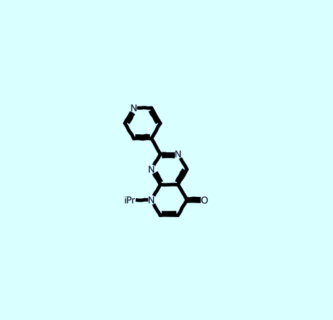 CC(C)n1ccc(=O)c2cnc(-c3ccncc3)nc21